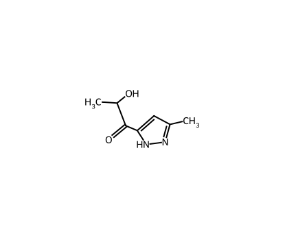 Cc1cc(C(=O)C(C)O)[nH]n1